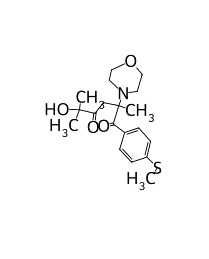 CSc1ccc(C(=O)C(C)(CC(=O)C(C)(C)O)N2CCOCC2)cc1